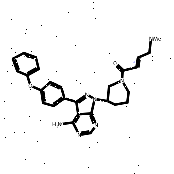 CNC/C=C/C(=O)N1CCCC(n2nc(-c3ccc(Oc4ccccc4)cc3)c3c(N)ncnc32)C1